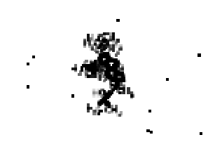 CCC(CC)[C@@H](O)CSC(C)C1=CC[C@H]2C3=CC=C4CC(O[Si](C)(C)C(C)(C)C)CC(O[Si](C)(C)C(C)(C)C)[C@]4(C)[C@H]3CC[C@]12C